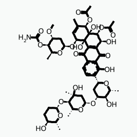 CO[C@@H]1C[C@@H](O[C@H]2C=C(C)[C@@H](OC(C)=O)[C@]3(O)[C@@H](OC(C)=O)[C@@H](O)C4=C(C(=O)c5ccc([C@H]6C[C@@H](O[C@H]7C[C@](C)(O)[C@H](O[C@H]8CC[C@H](O)[C@@H](C)O8)[C@@H](C)O7)[C@H](O)[C@@H](C)O6)c(O)c5C4=O)[C@]23O)O[C@@H](C)[C@H]1OC(N)=O